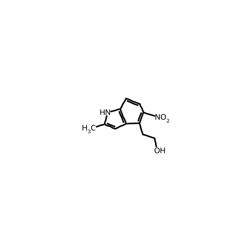 Cc1cc2c(CCO)c([N+](=O)[O-])ccc2[nH]1